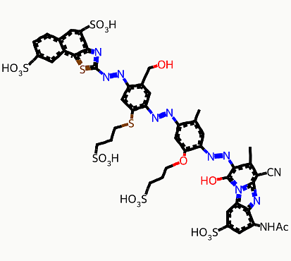 CC(=O)Nc1cc(S(=O)(=O)O)cc2c1nc1c(C#N)c(C)c(N=Nc3cc(C)c(N=Nc4cc(CO)c(N=Nc5nc6c(S(=O)(=O)O)cc7ccc(S(=O)(=O)O)cc7c6s5)cc4SCCCS(=O)(=O)O)cc3OCCCS(=O)(=O)O)c(O)n12